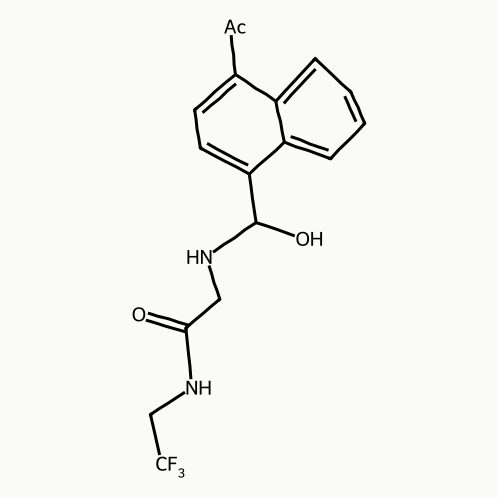 CC(=O)c1ccc(C(O)NCC(=O)NCC(F)(F)F)c2ccccc12